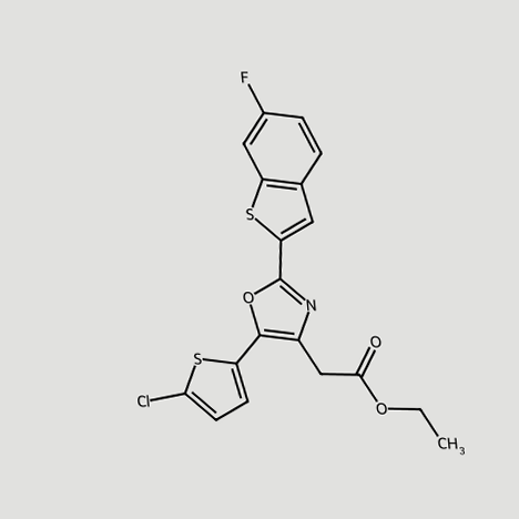 CCOC(=O)Cc1nc(-c2cc3ccc(F)cc3s2)oc1-c1ccc(Cl)s1